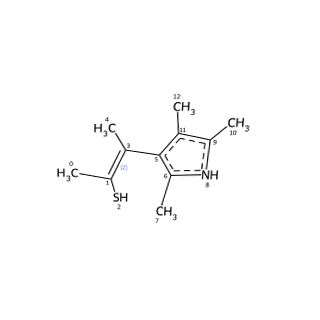 C/C(S)=C(\C)c1c(C)[nH]c(C)c1C